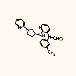 O=CN(c1cccc(C(F)(F)F)c1)c1cccnc1NC1CCN(c2ccccn2)C1